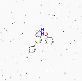 Oc1ccccc1/C(=C/Sc1ccccc1)c1ncc[nH]1